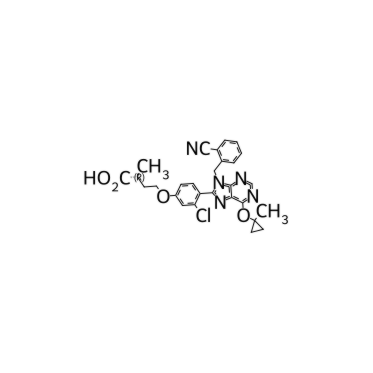 C[C@H](CCOc1ccc(-c2nc3c(OC4(C)CC4)ncnc3n2Cc2ccccc2C#N)c(Cl)c1)C(=O)O